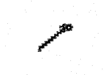 C=C(C)C(OCCCCCCCCCCCCCCCC)c1ccccc1